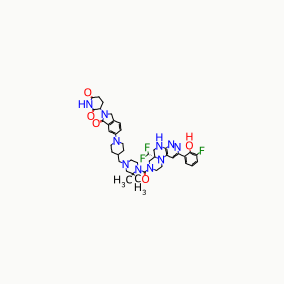 CC1(C)CN(CC2CCN(c3ccc4c(c3)C(=O)N([C@H]3CCC(=O)NC3=O)C4)CC2)CCN1C(=O)N1CCN2c3cc(-c4cccc(F)c4O)nnc3NC[C@]2(C(F)F)C1